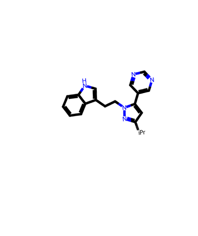 CC(C)c1cc(-c2cncnc2)n(CCc2c[nH]c3ccccc23)n1